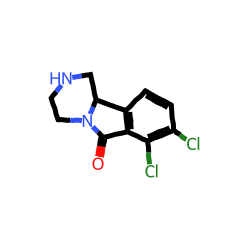 O=C1c2c(ccc(Cl)c2Cl)C2CNCCN12